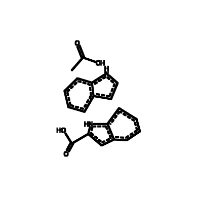 CC(=O)O.O=C(O)c1cc2ccccc2[nH]1.c1ccc2[nH]ccc2c1